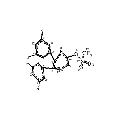 Cc1cc(C)cc(-c2ncc(OS(=O)(=O)C(F)(F)F)nc2-c2cc(C)cc(C)c2)c1